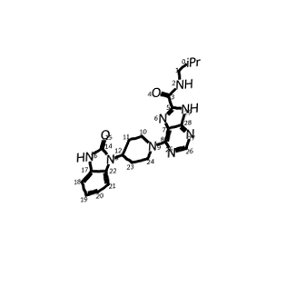 CC(C)CNC(=O)c1nc2c(N3CCC(n4c(=O)[nH]c5ccccc54)CC3)ncnc2[nH]1